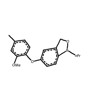 CCCB1OCc2cc(Oc3ccc(C)cc3OC)ccc21